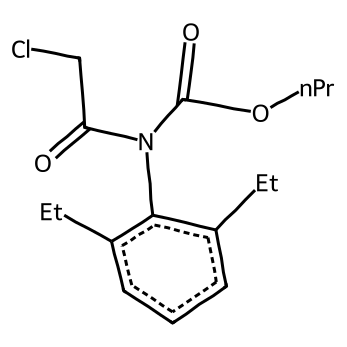 CCCOC(=O)N(C(=O)CCl)c1c(CC)cccc1CC